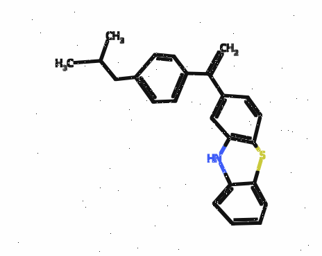 C=C(c1ccc(CC(C)C)cc1)c1ccc2c(c1)Nc1ccccc1S2